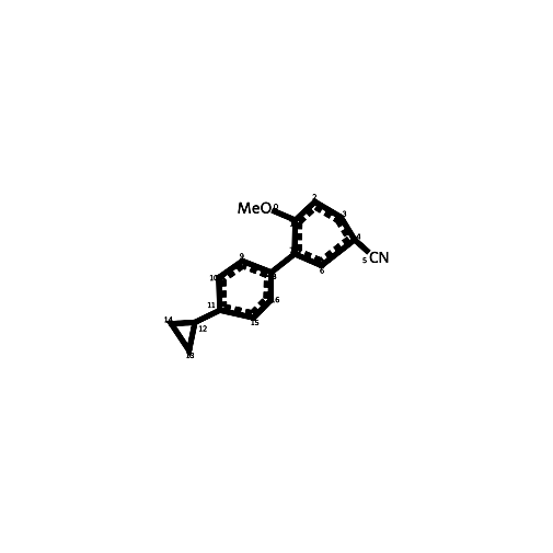 COc1ccc(C#N)cc1-c1ccc(C2CC2)cc1